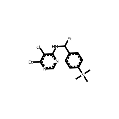 CCc1ncnc(NC(CC)c2ccc([Si](C)(C)C)cc2)c1Cl